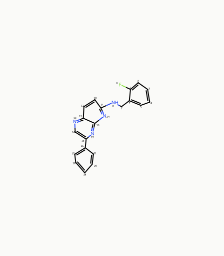 Fc1ccccc1CNc1ccc2ncc(-c3ccccc3)nc2n1